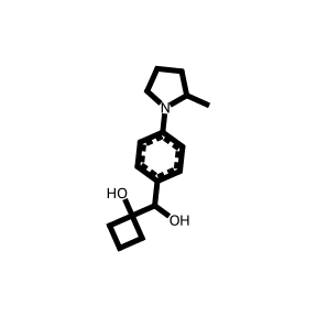 CC1CCCN1c1ccc(C(O)C2(O)CCC2)cc1